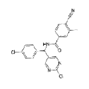 Cc1cc(C(=O)NC(c2ccc(Cl)cc2)c2cnc(Cl)nc2)ccc1C#N